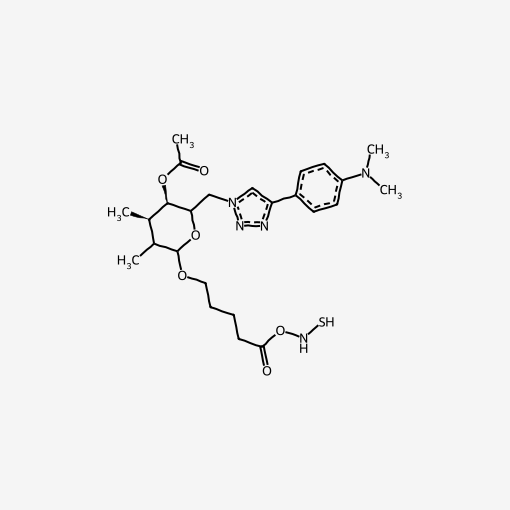 CC(=O)O[C@H]1C(Cn2cc(-c3ccc(N(C)C)cc3)nn2)OC(OCCCCC(=O)ONS)C(C)[C@H]1C